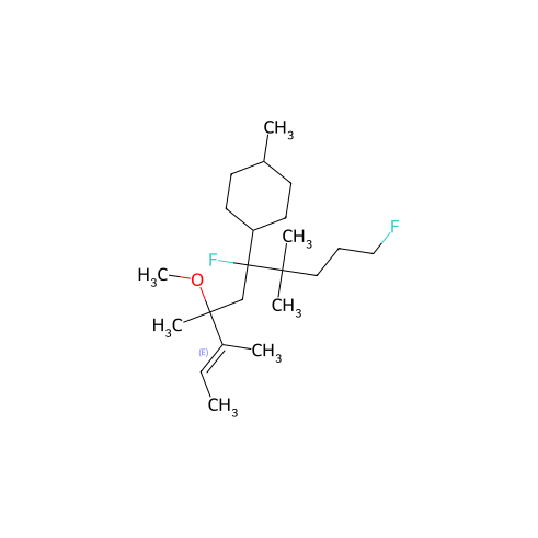 C/C=C(\C)C(C)(CC(F)(C1CCC(C)CC1)C(C)(C)CCCF)OC